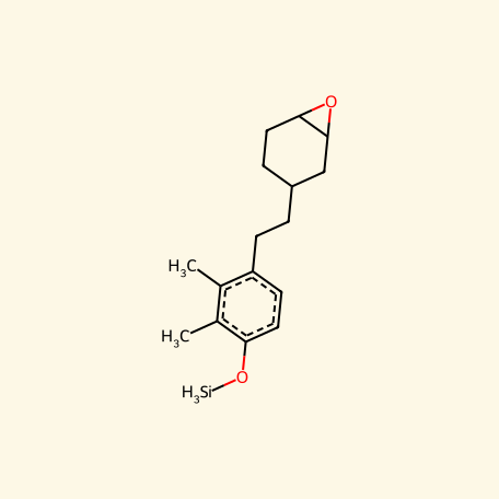 Cc1c(CCC2CCC3OC3C2)ccc(O[SiH3])c1C